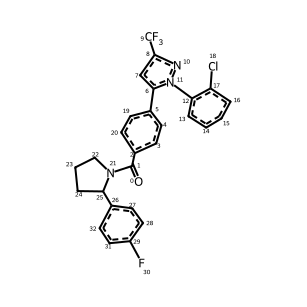 O=C(c1ccc(-c2cc(C(F)(F)F)nn2-c2ccccc2Cl)cc1)N1CCCC1c1ccc(F)cc1